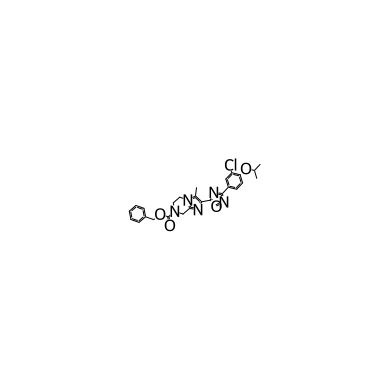 Cc1c(-c2nc(-c3ccc(OC(C)C)c(Cl)c3)no2)nc2n1CCN(C(=O)OCc1ccccc1)C2